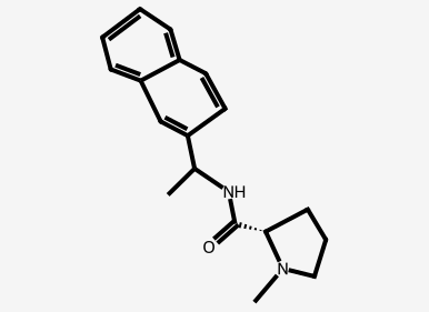 CC(NC(=O)[C@@H]1CCCN1C)c1ccc2ccccc2c1